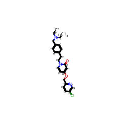 CCN(CC)Cc1ccc(CCn2ccc(OCc3ccc(Cl)cn3)cc2=O)cc1